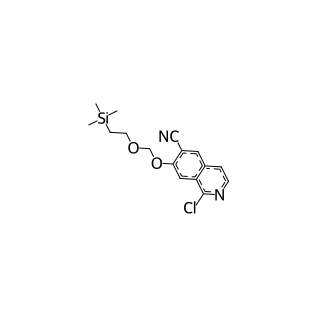 C[Si](C)(C)CCOCOc1cc2c(Cl)nccc2cc1C#N